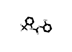 O=C(Nc1ccccc1C(F)(F)F)Sc1ccccc1O